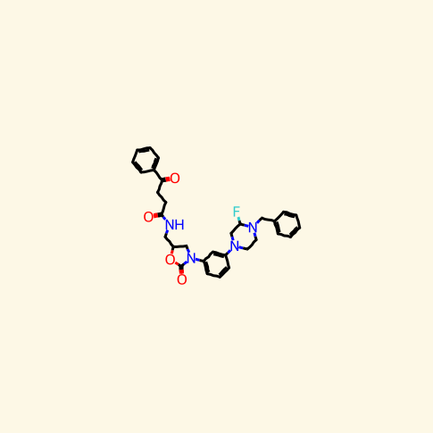 O=C(CCC(=O)c1ccccc1)NCC1CN(c2cccc(N3CCN(Cc4ccccc4)C(F)C3)c2)C(=O)O1